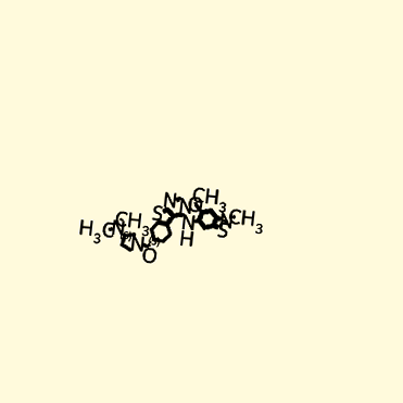 COc1cc2c(cc1Nc1ncnc3sc4c(c13)CC[C@H](C(=O)N1CC[C@H](N(C)C)C1)C4)sn2C